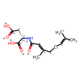 CC(C)=CCCC(C)=CC(=O)N[C@@H](CC(=O)O)C(=O)O